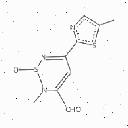 Cc1cnc(C2=N[S+]([O-])N(C)C(C=O)=C2)s1